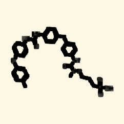 Cc1ccc(Oc2ccc(NC(=O)Nc3ccc(Cc4ccc(NC(=O)N(C)OCCCS(=O)(=O)O)cc4)cc3)cc2)cc1